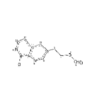 O=COCCc1cnc2c(Cl)nccc2c1